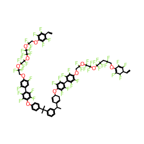 C=Cc1c(F)c(F)c(OCC(F)(F)OC(F)(F)C(F)(F)OC(F)(F)C(F)(F)OC(F)(F)COc2cc(F)c(-c3c(F)c(F)c(Oc4ccc(C(C)(C)c5cccc(C(C)C6=CCC(Oc7c(F)c(F)c(-c8c(F)c(F)c(OCC(F)(F)OC(F)(F)C(F)(F)OC(F)(F)C(F)(F)CC(F)(F)COC9=C(F)C(F)C(C=C)C(F)=C9F)c(F)c8F)c(F)c7F)C=C6)c5)cc4)c(F)c3F)cc2F)c(F)c1F